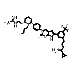 CC(=N)NCC[C@@H]1CCC[C@@H](c2ccc(-n3cc4cc(-c5cc(CCCC(N)C6CC6)cc(C(F)(F)F)c5)[nH]c4nc3=O)cc2)N1CCCF